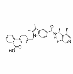 Cc1c(C)n(Cc2ccc(-c3ccccc3C(=O)O)cc2)c2ccc(C(=O)NC(C)c3c(F)cncc3F)cc12